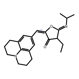 CCC1C(=O)/C(=C\c2cc3c4c(c2)CCCN4CCC3)OC1=NC(C)C